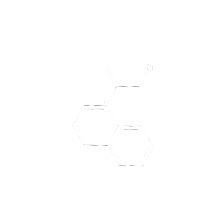 C=C(CBr)c1cccc2ccccc12